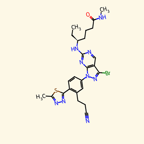 CC[C@@H](CCCC(=O)NC)Nc1ncc2c(Br)nn(-c3ccc(-c4nnc(C)s4)c(CCC#N)c3)c2n1